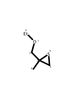 CCOCC1(C)CS1